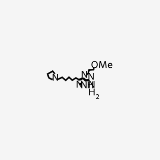 COCCc1nc(N)c2[nH]nc(CCCCCCN3CCCCC3)c2n1